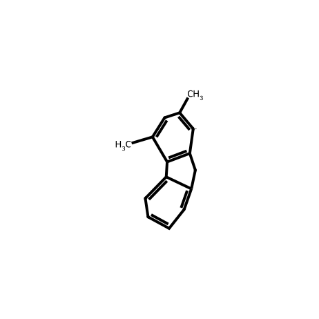 Cc1[c]c2c(c(C)c1)-c1ccccc1C2